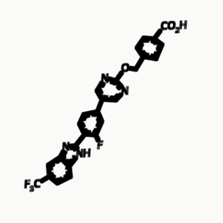 O=C(O)c1ccc(COc2ncc(-c3ccc(-c4nc5cc(C(F)(F)F)ccc5[nH]4)c(F)c3)cn2)cc1